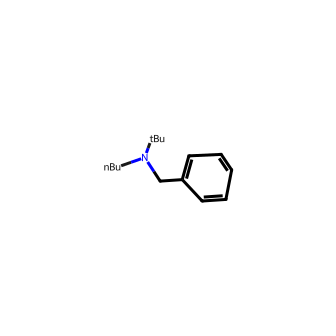 CCCCN(Cc1ccccc1)C(C)(C)C